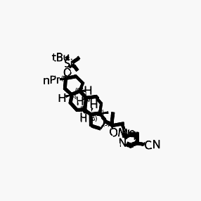 CCC[C@@]1(O[Si](C)(C)C(C)(C)C)CC[C@H]2[C@H](CC[C@@H]3[C@@H]2CC[C@@]2(C)[C@H]3CC[C@@H]2[C@@](C)(Cn2cc(C#N)cn2)OC)C1